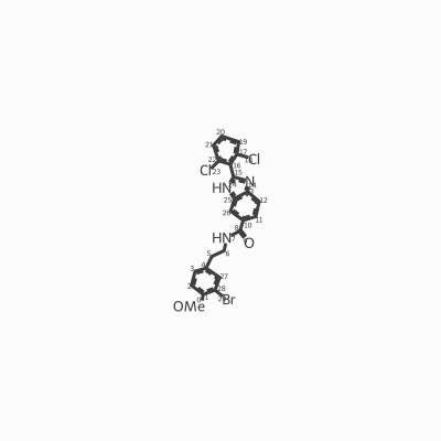 COc1ccc(CCNC(=O)c2ccc3nc(-c4c(Cl)cccc4Cl)[nH]c3c2)cc1Br